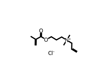 C=CC[N+](C)(C)CCCOC(=O)C(=C)C.[Cl-]